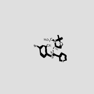 CC1(C)OC[C@H](C[C@@H](Sc2ccc(Br)cc2C#N)c2cccnc2)N1C(=O)O